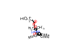 COc1cc(OC)c2c(=O)[nH]c(-c3cc(C)c(OCCOC(=O)CCC(=O)O)c(C)c3)nc2c1